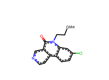 COCCn1c(=O)c2cnccc2c2ccc(Cl)cc21